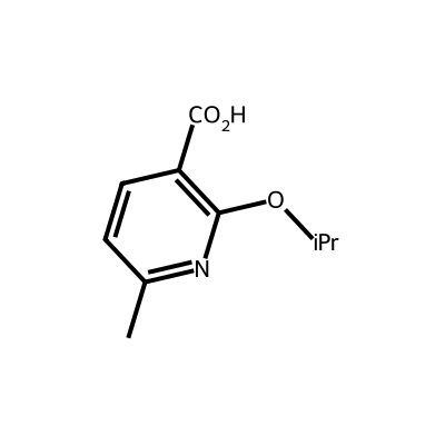 Cc1ccc(C(=O)O)c(OC(C)C)n1